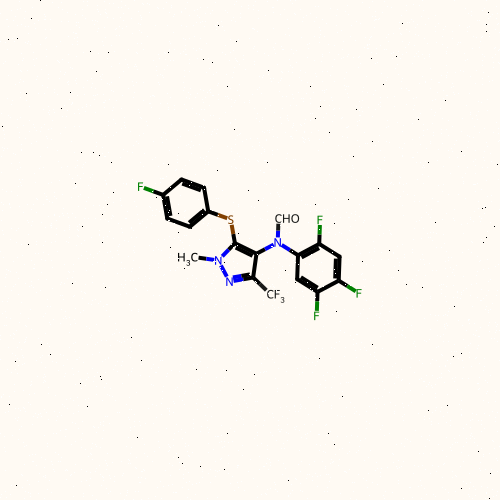 Cn1nc(C(F)(F)F)c(N(C=O)c2cc(F)c(F)cc2F)c1Sc1ccc(F)cc1